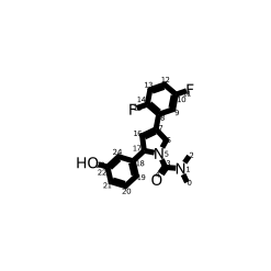 CN(C)C(=O)N1CC(c2cc(F)ccc2F)=CC1c1cccc(O)c1